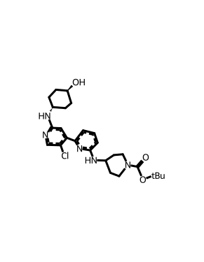 CC(C)(C)OC(=O)N1CCC(Nc2cccc(-c3cc(N[C@H]4CC[C@H](O)CC4)ncc3Cl)n2)CC1